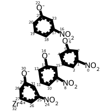 O=[N+]([O-])c1cccc([O-])c1.O=[N+]([O-])c1cccc([O-])c1.O=[N+]([O-])c1cccc([O-])c1.O=[N+]([O-])c1cccc([O-])c1.[Zr+4]